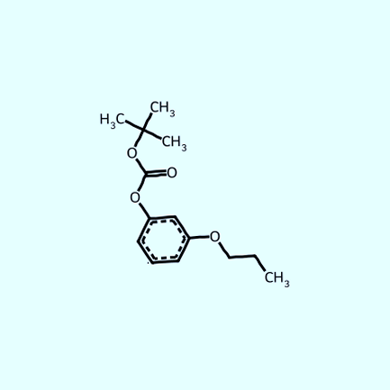 CCCOc1c[c]cc(OC(=O)OC(C)(C)C)c1